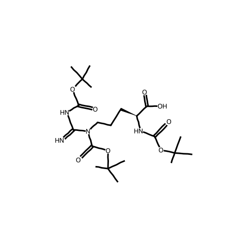 CC(C)(C)OC(=O)NC(=N)N(CCC[C@H](NC(=O)OC(C)(C)C)C(=O)O)C(=O)OC(C)(C)C